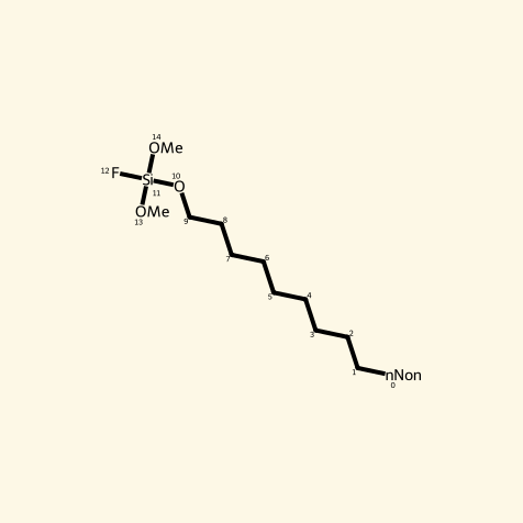 CCCCCCCCCCCCCCCCCCO[Si](F)(OC)OC